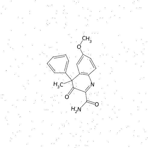 COc1ccc2c(c1)C(C)(c1ccccc1)C(=O)C(C(N)=O)=N2